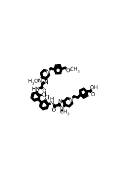 COCC12CCC(CN3CCc4c(nc(C(=O)Nc5cccc(-c6cccc(NC(=O)c7nc8c(n7C)CCN(CCC79CCC(C(=O)O)(CC7)C9)C8)c6Cl)c5Cl)n4C)C3)(CC1)C2